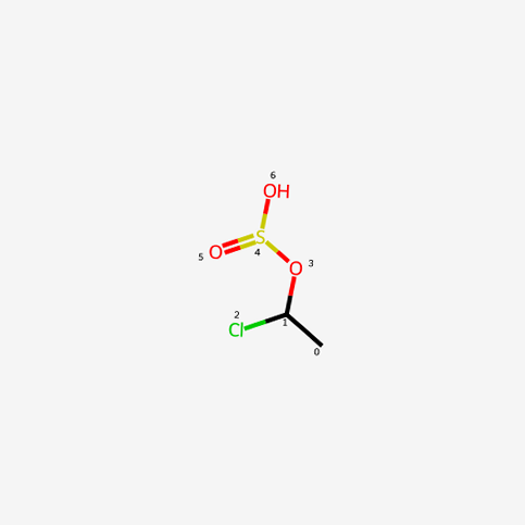 CC(Cl)OS(=O)O